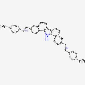 CCCc1ccc(/C=C/c2ccc3c(ccc4c5ccc6cc(/C=C/c7ccc(CCC)cc7)ccc6c5[nH]c34)c2)cc1